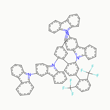 N#Cc1ccc(-n2c3ccccc3c3cc(-n4c5ccccc5c5ccccc54)ccc32)c(-c2ccc(-c3c(C(F)(F)F)cccc3C(F)(F)F)cc2-n2c3ccccc3c3cc(-n4c5ccccc5c5ccccc54)ccc32)c1